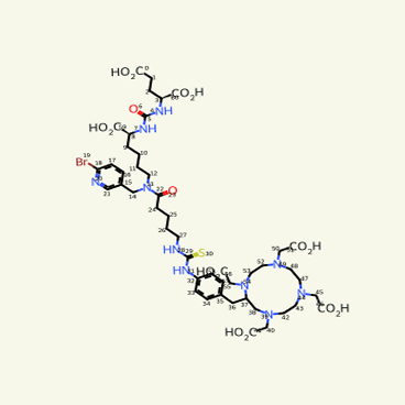 O=C(O)CC[C@H](NC(=O)N[C@@H](CCCCN(Cc1ccc(Br)nc1)C(=O)CCCCNC(=S)Nc1ccc(CC2CN(CC(=O)O)CCN(CC(=O)O)CCN(CC(=O)O)CCN2CC(=O)O)cc1)C(=O)O)C(=O)O